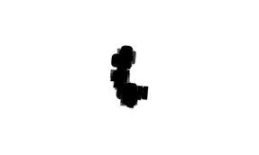 N#Cc1cccc2c1OC[C@H](CN1CCC(CCN3CCOCC3=O)CC1)O2